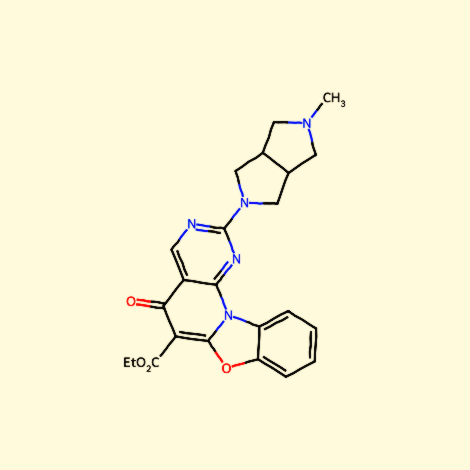 CCOC(=O)c1c(=O)c2cnc(N3CC4CN(C)CC4C3)nc2n2c1oc1ccccc12